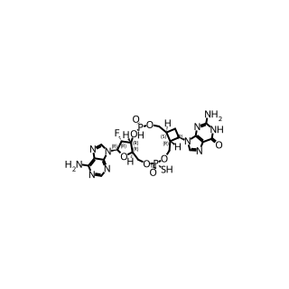 Nc1nc2c(ncn2[C@@H]2C[C@@H]3CO[PH](=O)O[C@H]4[C@@H](F)[C@H](n5cnc6c(N)ncnc65)O[C@@H]4CO[P@](=O)(S)OC[C@H]32)c(=O)[nH]1